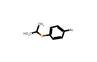 CC(=O)c1ccc(SC(C)C(=O)O)cc1